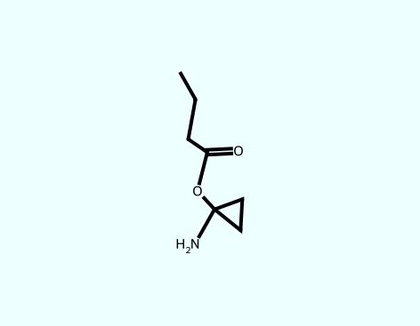 CCCC(=O)OC1(N)CC1